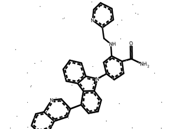 NC(=O)c1ccc(-n2c3ccccc3c3c(-c4cnc5ccccc5c4)cccc32)cc1NCc1ccccn1